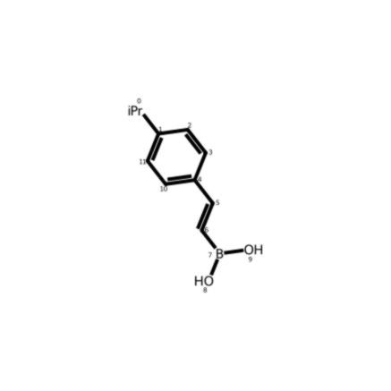 CC(C)c1ccc(C=CB(O)O)cc1